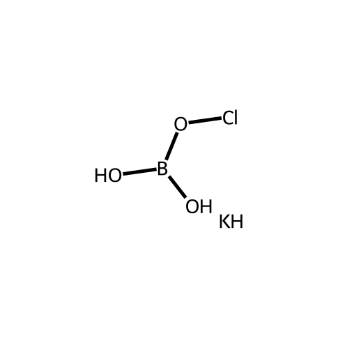 OB(O)OCl.[KH]